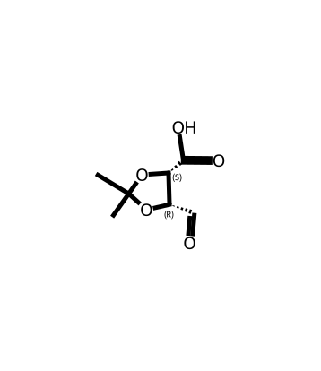 CC1(C)O[C@@H](C=O)[C@@H](C(=O)O)O1